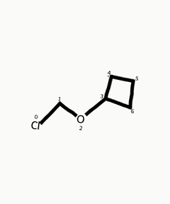 ClCOC1[CH]CC1